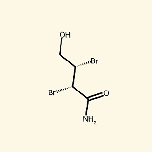 NC(=O)[C@H](Br)[C@@H](Br)CO